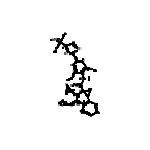 N/C=C(/c1ccccn1)N(C1=CC1)C1(C(=O)Nc2c(F)cc(-n3cc(C(F)(F)F)cn3)cc2F)CC1